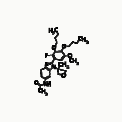 CCCCOc1c(OC)cc(-c2nc3ccc(NC(C)=O)cc3n2C2(C)COC2)c(F)c1OCCCC